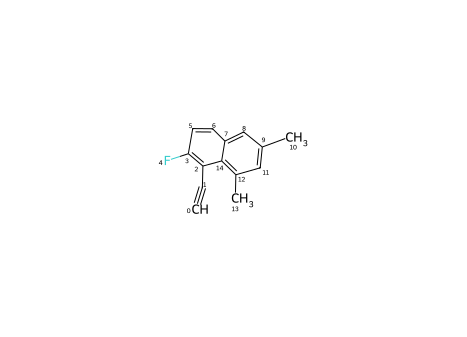 C#Cc1c(F)ccc2cc(C)cc(C)c12